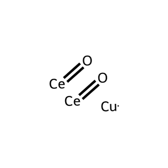 [Cu].[O]=[Ce].[O]=[Ce]